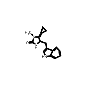 CN1C(=O)NC(Cc2c[nH]c3ccccc23)C1=C1CC1